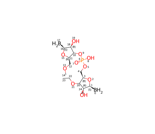 B[C@@H]1O[C@H](COP(=O)(O)OC2[C@@H](COC)O[C@@H](B)[C@H]2O)C(OCC)[C@@H]1O